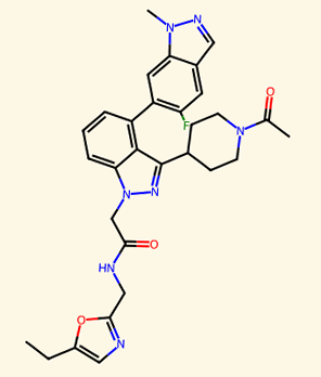 CCc1cnc(CNC(=O)Cn2nc(C3CCN(C(C)=O)CC3)c3c(-c4cc5c(cnn5C)cc4F)cccc32)o1